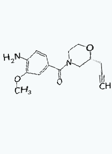 C#CC[C@@H]1CN(C(=O)c2ccc(N)c(OC)c2)CCO1